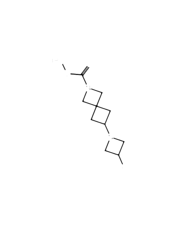 CC(C)(C)OC(=O)N1CC2(CC(N3CC(C(F)(F)F)C3)C2)C1